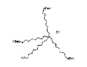 CCCCCCCCCCCCCCCCCC[P+](CCCCCCCCCCCCCCCCCC)(CCCCCCCCCCCCCCCCCC)CCCCCCCCCCCCCCCCCC.[Br-]